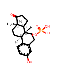 C[C@]12CC[C@@H]3c4ccc(O)cc4CC[C@H]3[C@@H]1CCC2=O.O=P(O)(O)O